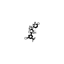 C[C@H](NC(=O)c1cc(Cl)cc(C(F)F)c1)c1ncnn1-c1ccc(=O)n(C)n1